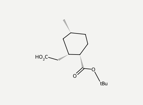 C[C@@H]1CC[C@H](C(=O)OC(C)(C)C)[C@H](CC(=O)O)C1